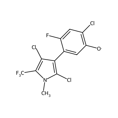 Cn1c(Cl)c(-c2cc([O])c(Cl)cc2F)c(Cl)c1C(F)(F)F